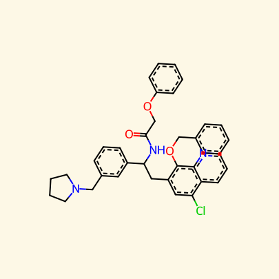 O=C(COc1ccccc1)NC(Cc1cc(Cl)c2cccnc2c1OCc1ccccc1)c1cccc(CN2CCCC2)c1